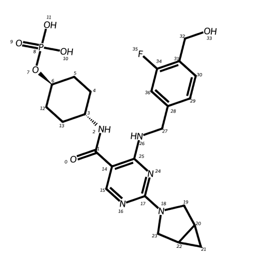 O=C(N[C@H]1CC[C@H](OP(=O)(O)O)CC1)c1cnc(N2CC3CC3C2)nc1NCc1ccc(CO)c(F)c1